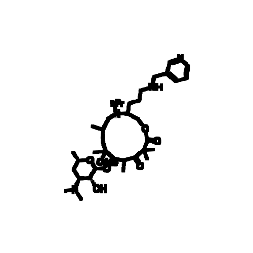 CCCN1CC(C)CC(C)(OC)C(O[C@@H]2O[C@H](C)C[C@H](N(C)C)[C@H]2O)C(C)C(=O)C(C)(C)C(=O)OCC1CCCNCc1cccnc1